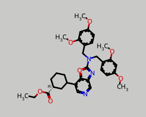 CCOC(=O)[C@@H]1CCCC(c2cncc3nc(N(Cc4ccc(OC)cc4OC)Cc4ccc(OC)cc4OC)oc23)C1